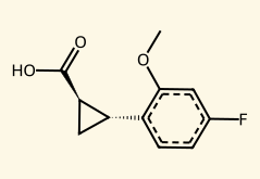 COc1cc(F)ccc1[C@@H]1C[C@H]1C(=O)O